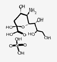 N[C@H]1[C@H]([C@H](O)[C@H](O)CO)O[C@](O)(C(=O)O)C[C@@H]1O.O=S(=O)(O)O